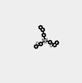 c1ccc2cc(-c3ccc(-c4nc(-c5ccc6c(c5)oc5ccccc56)nc(-c5ccc6c(c5)oc5ccc7ccccc7c56)n4)cc3)ccc2c1